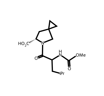 COC(=O)NC(CC(C)C)C(=O)N1CC2(CC2)C[C@H]1C(=O)O